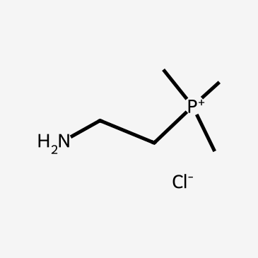 C[P+](C)(C)CCN.[Cl-]